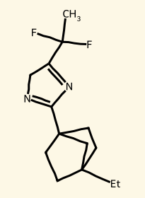 CCC12CCC(C3=NCC(C(C)(F)F)=N3)(CC1)C2